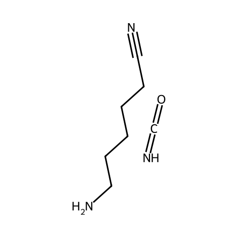 N#CCCCCCN.N=C=O